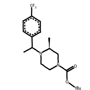 CC(c1ccc(C(F)(F)F)cc1)N1CCN(C(=O)OC(C)(C)C)C[C@@H]1C